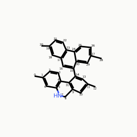 Cc1ccc2c(c1)NCc1cc(C)cc(-c3cc4cc(C)ccc4c4ccc(C)cc34)c1-2